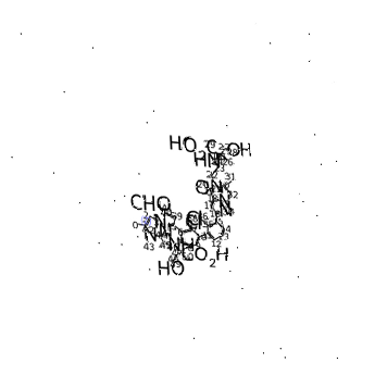 C/C(=C/n1nc(-c2cccc(-c3cccc(-c4cc5c(=O)n(CCN[C@](C)(CO)C(=O)O)c(C)cn5n4)c3Cl)c2Cl)cc1C=O)N(C)CCNC(CO)C(=O)O